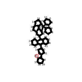 c1ccc(C2(c3ccccc3)c3cccc4ccc5cc(-c6c7ccccc7c(-c7ccc8c(c7)oc7ccccc78)c7ccccc67)cc2c5c34)cc1